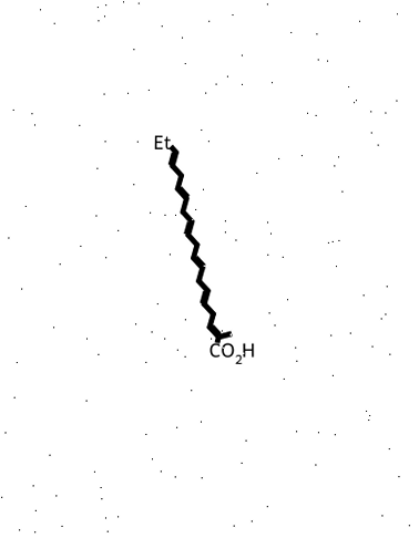 CCC=CCC=CCC=CCC=CCC=CCC=C(C)C(=O)O